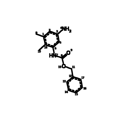 Cc1cc(N)cc(NC(=O)OCc2ccccc2)c1C